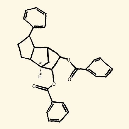 O=C(OC1C2C[C@H](C3CCC(c4ccccc4)C23)C1OC(=O)c1ccccc1)c1ccccc1